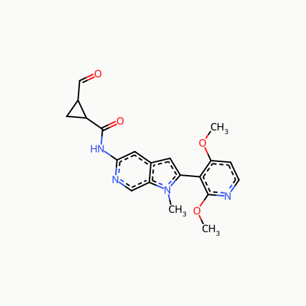 COc1ccnc(OC)c1-c1cc2cc(NC(=O)C3CC3C=O)ncc2n1C